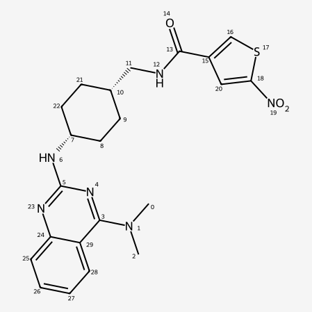 CN(C)c1nc(N[C@H]2CC[C@@H](CNC(=O)c3csc([N+](=O)[O-])c3)CC2)nc2ccccc12